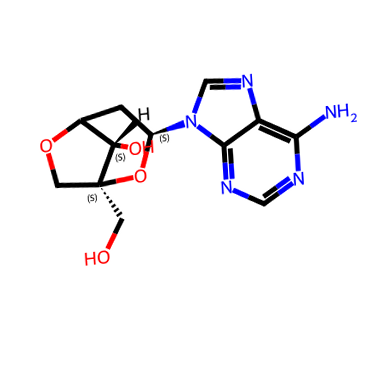 Nc1ncnc2c1ncn2[C@@H]1CC2OC[C@](CO)(O1)[C@H]2O